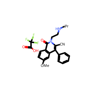 COc1ccc2c(=O)n(CCNC(C)C)c(C#N)c(-c3ccccc3)c2c1.O=C(O)C(F)(F)F